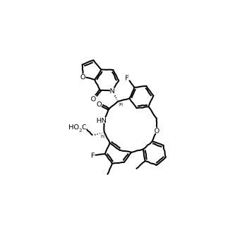 Cc1cc2cc(c1F)[C@H](CC(=O)O)NC(=O)[C@H](n1ccc3ccoc3c1=O)c1cc(ccc1F)COc1cccc(C)c1-2